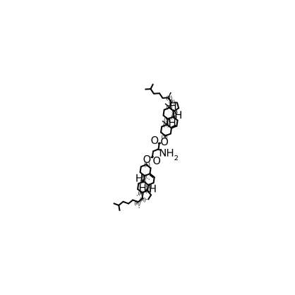 CC(C)CCC[C@@H](C)[C@H]1CC[C@H]2[C@@H]3CC=C4C[C@@H](OC(=O)CC(N)C(=O)O[C@H]5CC[C@@]6(C)C(=CC[C@H]7[C@@H]8CC[C@H]([C@H](C)CCCC(C)C)[C@@]8(C)CC[C@@H]76)C5)CC[C@]4(C)[C@H]3CC[C@]12C